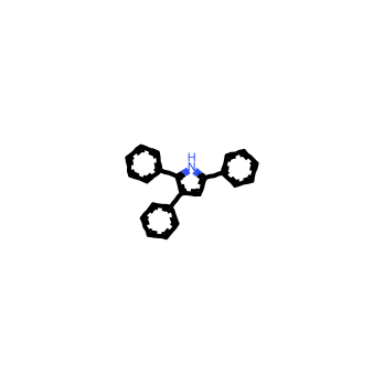 c1ccc(-c2cc(-c3ccccc3)c(-c3ccccc3)[nH]2)cc1